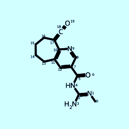 CN=C(N)NC(=O)c1cnc2c(c1)CCCCC2=C=O